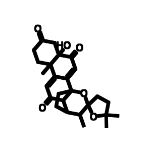 CC1C2CCC3(OC14CCC(C)(C)O4)C1=CC(=O)C4(O)CC(=O)CCC4(C)C1=CC(=O)C23